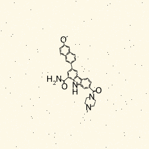 COc1ccc2cc(-c3cc(C(N)=O)c4[nH]c5cc(C(=O)N6CCN(C)CC6)ccc5c4c3)ccc2c1